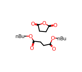 CCCCOC(=O)CCC(=O)OCCCC.O=C1CCC(=O)O1